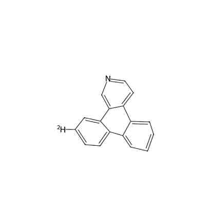 [2H]c1ccc2c3ccccc3c3ccncc3c2c1